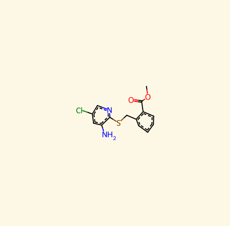 COC(=O)c1ccccc1CSc1ncc(Cl)cc1N